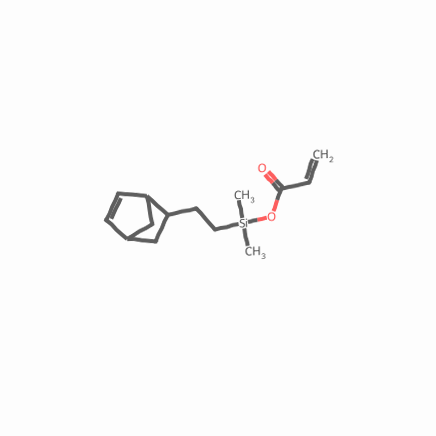 C=CC(=O)O[Si](C)(C)CCC1CC2C=CC1C2